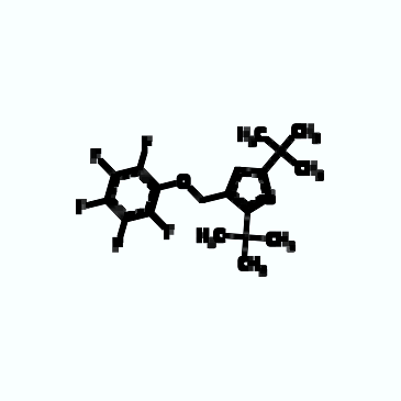 CC(C)(C)c1cc(COc2c(F)c(F)c(F)c(F)c2F)c(C(C)(C)C)s1